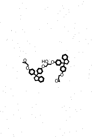 OC(COc1ccc(C2(c3ccc(OCC4CO4)cc3)CCc3ccccc32)cc1)COc1ccc(C2(c3ccc(OCC4CO4)cc3)CCc3ccccc32)cc1